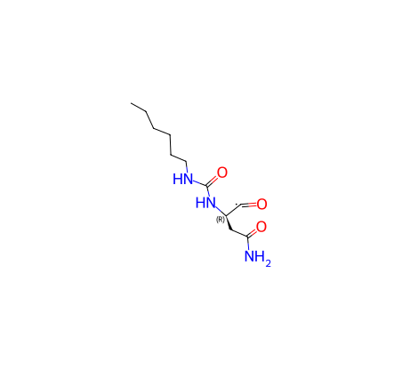 CCCCCCNC(=O)N[C@@H]([C]=O)CC(N)=O